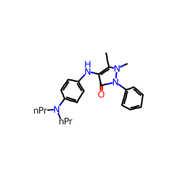 CCCN(CCC)c1ccc(Nc2c(C)n(C)n(-c3ccccc3)c2=O)cc1